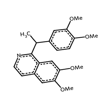 COc1ccc(C(C)c2nccc3cc(OC)c(OC)cc23)cc1OC